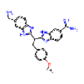 COc1ccc(CC(c2nc3ccc(CN)cc3[nH]2)c2nc3ccc(C(=N)N)cc3[nH]2)cc1